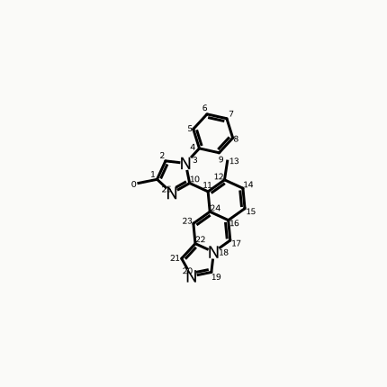 Cc1cn(-c2ccccc2)c(-c2c(C)ccc3cn4cncc4cc23)n1